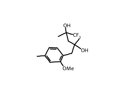 COc1cc(C)ccc1CC(C)(O)CC(C)(O)C(F)(F)F